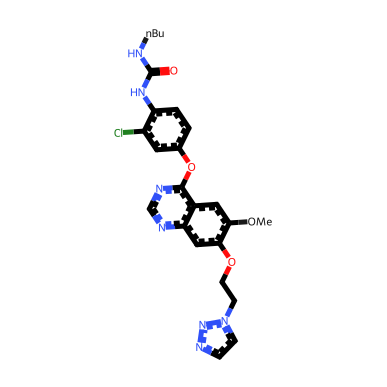 CCCCNC(=O)Nc1ccc(Oc2ncnc3cc(OCCn4ccnn4)c(OC)cc23)cc1Cl